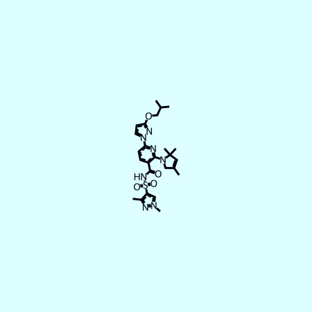 CC1=CC(C)(C)N(c2nc(-n3ccc(OCC(C)C)n3)ccc2C(=O)NS(=O)(=O)c2cn(C)nc2C)C1